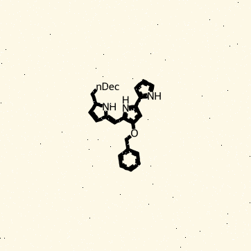 CCCCCCCCCCCC1C=C/C(=C/c2[nH]c(-c3ccc[nH]3)cc2OCc2ccccc2)N1